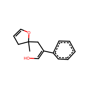 CC1(CC(=CO)c2ccccc2)CC=CO1